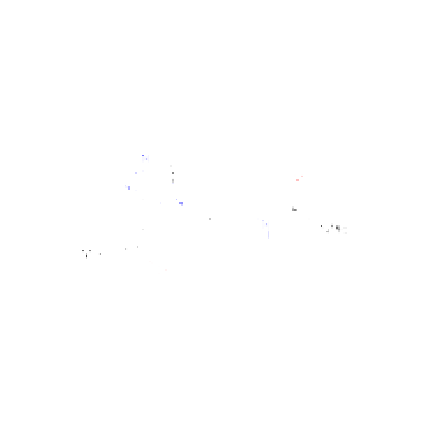 CNC(=O)NCCn1[c]nnc1C(=O)OC